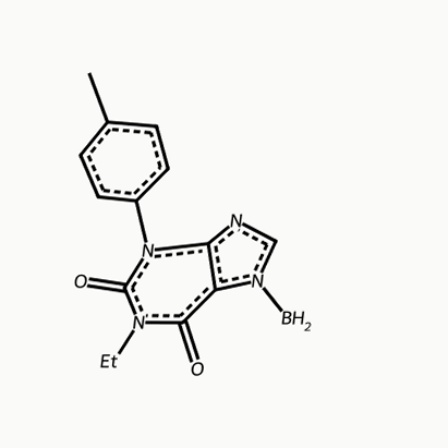 Bn1cnc2c1c(=O)n(CC)c(=O)n2-c1ccc(C)cc1